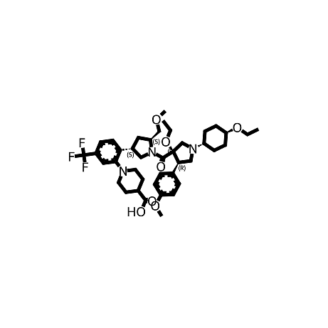 CCO[C@@]1(C(=O)N2C[C@H](c3ccc(C(F)(F)F)cc3N3CCC(C(=O)O)CC3)C[C@H]2COC)CN([C@H]2CC[C@H](OCC)CC2)C[C@H]1c1ccc(OC)cc1